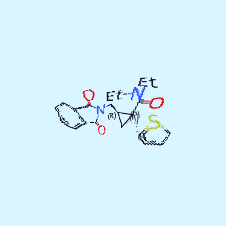 CCN(CC)C(=O)[C@@]1(c2cccs2)C[C@H]1CN1C(=O)c2ccccc2C1=O